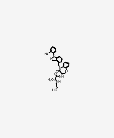 C[C@H](NCCO)C(=O)N[C@H]1COc2ccccc2N(Cc2cccc3c2cnn3-c2ccccc2C#N)C1=O